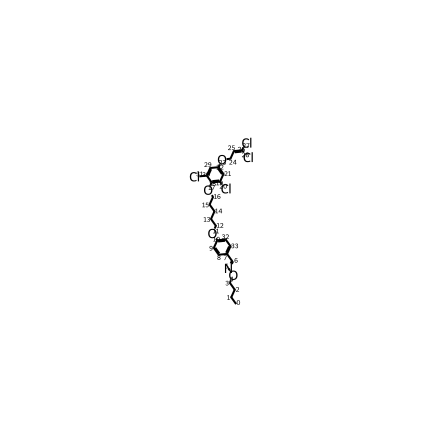 CCCCO/N=C/c1ccc(OCCCCCOc2c(Cl)cc(OCC=C(Cl)Cl)cc2Cl)cc1